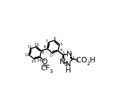 O=C(O)c1nc(-c2cccc(-c3ccccc3OC(F)(F)F)c2)n[nH]1